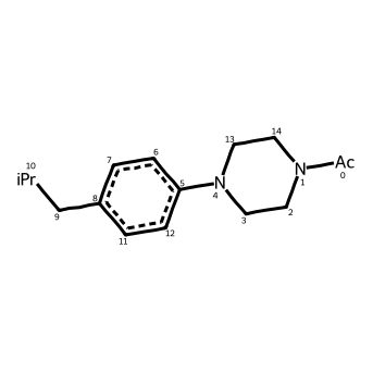 CC(=O)N1CCN(c2ccc(CC(C)C)cc2)CC1